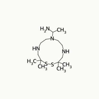 CC(N)N1CCNCC(C)(C)SSC(C)(C)CNCC1